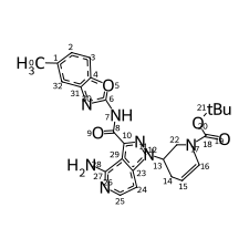 Cc1ccc2oc(NC(=O)c3nn(C4CC=CN(C(=O)OC(C)(C)C)C4)c4ccnc(N)c34)nc2c1